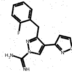 N=C(N)n1cc(-c2ccon2)c(Cc2ccccc2F)n1